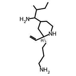 C=C[C@@]1(CCCCN)CC(C(N)C(C)CC)CCN1